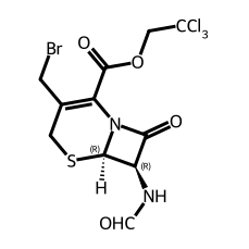 O=CN[C@@H]1C(=O)N2C(C(=O)OCC(Cl)(Cl)Cl)=C(CBr)CS[C@H]12